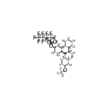 CC(C)(C)Oc1ccc2c(c1)CC[C@H](c1ccccc1)[C@@H]2c1ccc(OS(=O)(=O)C(F)(F)C(F)(F)C(F)(F)C(F)(F)F)cc1